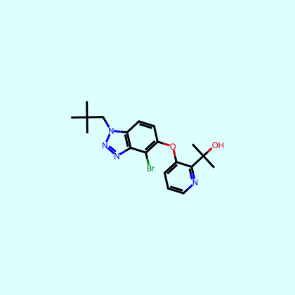 CC(C)(C)Cn1nnc2c(Br)c(Oc3cccnc3C(C)(C)O)ccc21